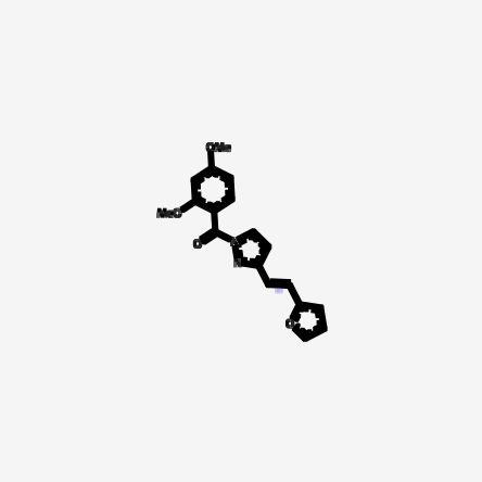 COc1ccc(C(=O)n2ccc(/C=C/c3ccco3)n2)c(OC)c1